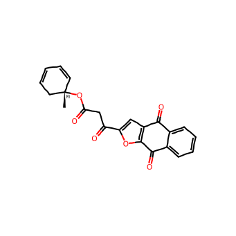 C[C@]1(OC(=O)CC(=O)c2cc3c(o2)C(=O)c2ccccc2C3=O)C=CC=CC1